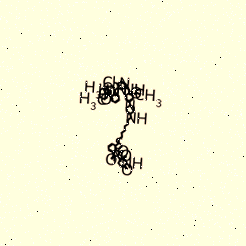 COc1cc(N2CCC(NCCCCCCCSc3cccc4c3C(=O)N(C3CCC(=O)NC3=O)C4=O)CC2)ccc1Nc1ncc(Cl)c(Nc2ccccc2P(=O)(OC)OC)n1